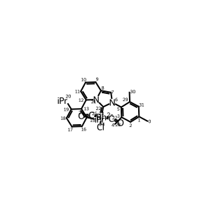 Cc1cc(C)c(-n2cc3cccc(-c4c(C(C)C)cccc4C(C)C)n3[c]2=[Rh-2]([Cl])(=[C]=O)=[C]=O)c(C)c1